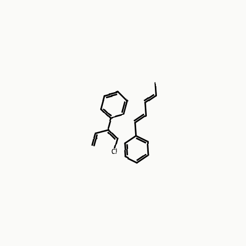 C=CC(=CCl)c1ccccc1.CC=CC=Cc1ccccc1